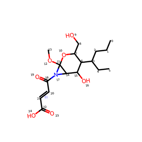 CCCC(CC)C1C(CO)OC2(OC)C(C1O)N2C(=O)/C=C/C(=O)O